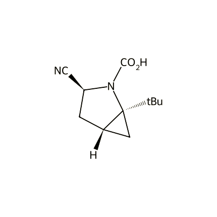 CC(C)(C)[C@]12C[C@@H]1C[C@@H](C#N)N2C(=O)O